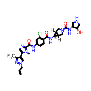 C=CCn1cc(-c2cnc(C(=O)Nc3ccc(C(=O)N[C@H]4[C@@H]5CN(C(=O)N[C@@H]6CNC[C@H]6O)C[C@@H]54)c(Cl)c3)n2C)c(C(F)(F)F)n1